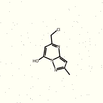 Cc1cc2nc(CCl)cc(O)n2n1